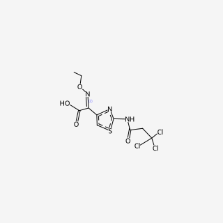 CCO/N=C(\C(=O)O)c1csc(NC(=O)CC(Cl)(Cl)Cl)n1